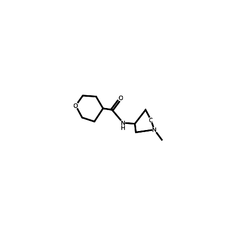 CN1CCC(NC(=O)C2CCOCC2)C1